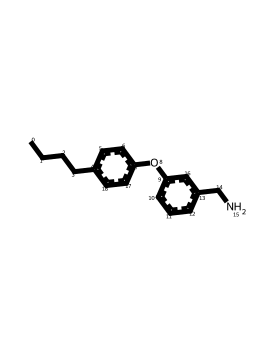 CCCCc1ccc(Oc2cccc(CN)c2)cc1